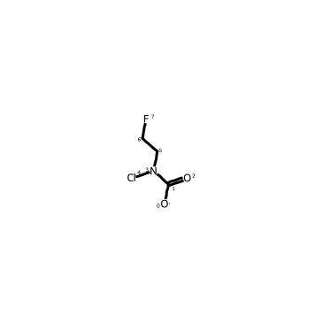 [O]C(=O)N(Cl)CCF